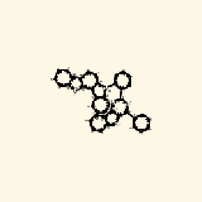 c1ccc(-c2nc(-c3ccccc3-n3c4ccccc4c4c5oc6ccccc6c5ccc43)nc3c2sc2ccccc23)cc1